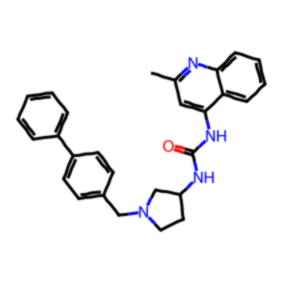 Cc1cc(NC(=O)NC2CCN(Cc3ccc(-c4ccccc4)cc3)C2)c2ccccc2n1